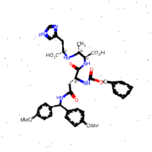 COc1ccc(C(NC(=O)C[C@@H](NC(=O)OCc2ccccc2)C(=O)N[C@H](C(=O)O)[C@@H](C)N[C@@H](Cc2c[nH]cn2)C(=O)O)c2ccc(OC)cc2)cc1